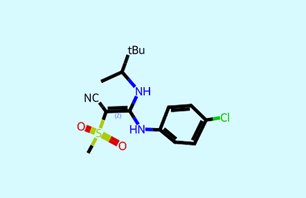 CC(N/C(Nc1ccc(Cl)cc1)=C(\C#N)S(C)(=O)=O)C(C)(C)C